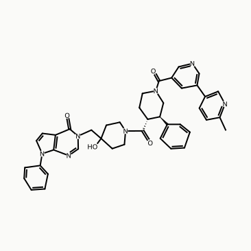 Cc1ccc(-c2cncc(C(=O)N3CC[C@@H](C(=O)N4CCC(O)(Cn5cnc6c(ccn6-c6ccccc6)c5=O)CC4)[C@H](c4ccccc4)C3)c2)cn1